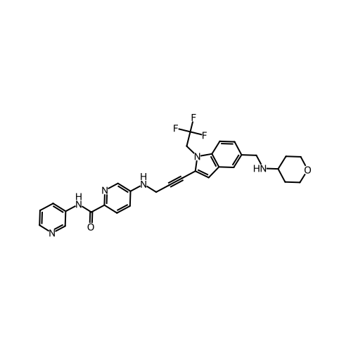 O=C(Nc1cccnc1)c1ccc(NCC#Cc2cc3cc(CNC4CCOCC4)ccc3n2CC(F)(F)F)cn1